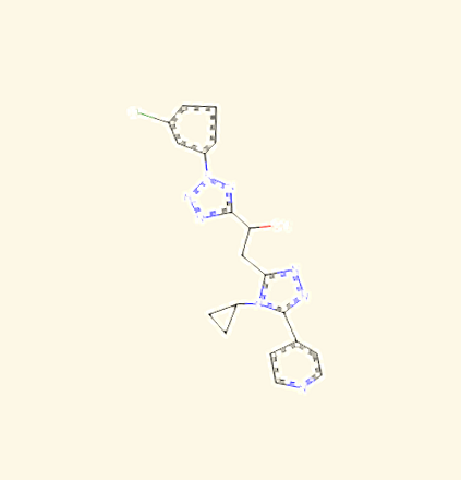 OC(Cc1nnc(-c2ccncc2)n1C1CC1)c1nnn(-c2cccc(Cl)c2)n1